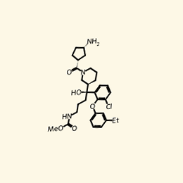 CCc1cccc(Oc2c(Cl)cccc2[C@](O)(CCCNC(=O)OC)[C@@H]2CCCN(C(=O)[C@@H]3CC[C@H](N)C3)C2)c1